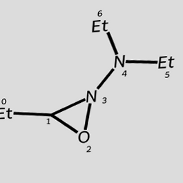 CCC1ON1N(CC)CC